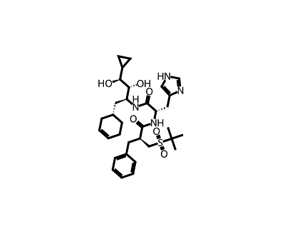 CC(C)(C)S(=O)(=O)C[C@@H](Cc1ccccc1)C(=O)N[C@@H](Cc1c[nH]cn1)C(=O)N[C@@H](C[C@H]1CC=CCC1)[C@@H](O)[C@@H](O)C1CC1